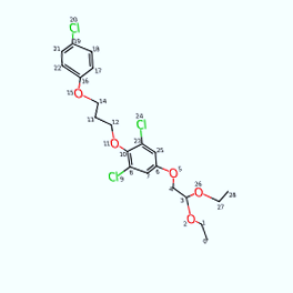 CCOC(COc1cc(Cl)c(OCCCOc2ccc(Cl)cc2)c(Cl)c1)OCC